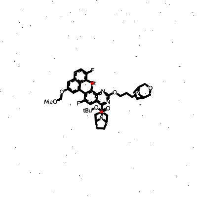 CCc1c(F)ccc2cc(OCOC)cc(-c3c(F)cc4c(N5CC6CCC(C5)N6C(=O)OC(C)(C)C)nc(OCCCN5C6CCC5COC6)nc4c3F)c12